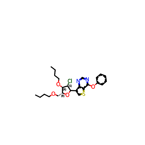 CCCCOC[C@H]1OC(c2csc3c(Oc4ccccc4)ncnc23)[C@H](Cl)[C@@H]1OCCCC